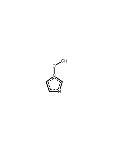 OOn1ccnc1